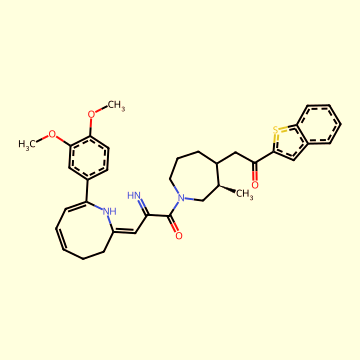 COc1ccc(/C2=C/C=C\CC/C(=C/C(=N)C(=O)N3CCCC(CC(=O)c4cc5ccccc5s4)[C@@H](C)C3)N2)cc1OC